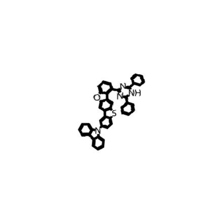 c1ccc(C2=NC(c3cccc4oc5cc6c(cc5c34)sc3ccc(-n4c5ccccc5c5ccccc54)cc36)=NC(c3ccccc3)N2)cc1